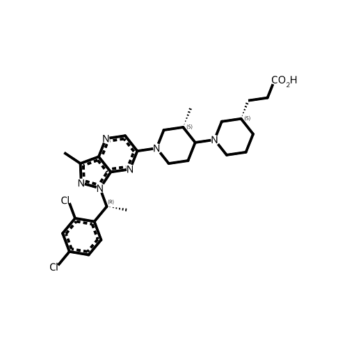 Cc1nn([C@H](C)c2ccc(Cl)cc2Cl)c2nc(N3CCC(N4CCC[C@@H](CCC(=O)O)C4)[C@@H](C)C3)cnc12